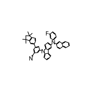 CC1(C)CC(C)(C)c2cc(-c3cc(C#N)cc(-n4c5ccccc5c5cc(N(c6cccc(F)c6)c6ccc7ccccc7c6)ccc54)c3)ccc21